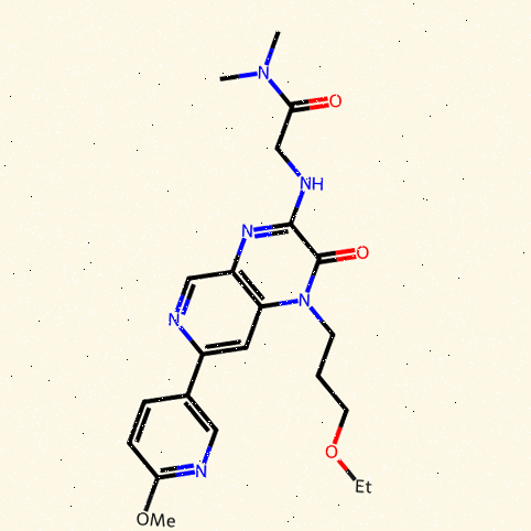 CCOCCCn1c(=O)c(NCC(=O)N(C)C)nc2cnc(-c3ccc(OC)nc3)cc21